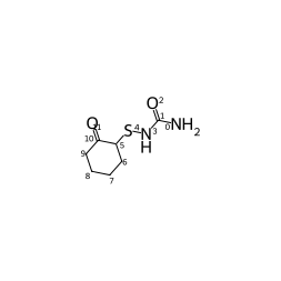 NC(=O)NSC1CCCCC1=O